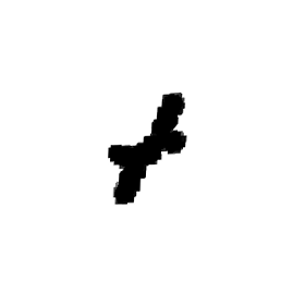 Fc1ccc(N(c2ccc3c(ccc4cc(N(c5ccc(F)cc5)c5ccc6nc(-c7ccccc7)oc6c5)ccc43)c2)c2ccc3nc(-c4ccccc4)oc3c2)cc1